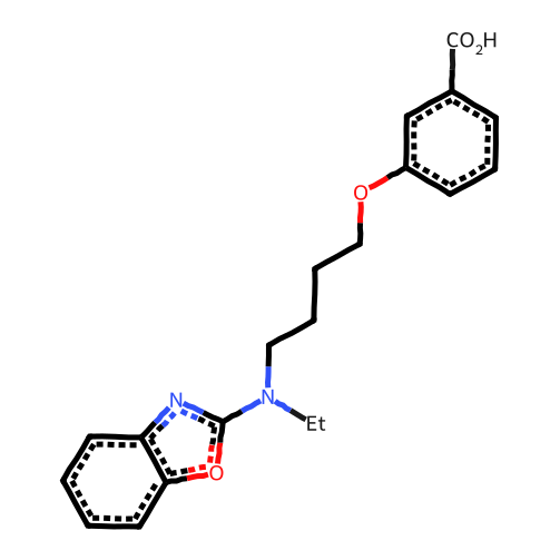 CCN(CCCCOc1cccc(C(=O)O)c1)c1nc2ccccc2o1